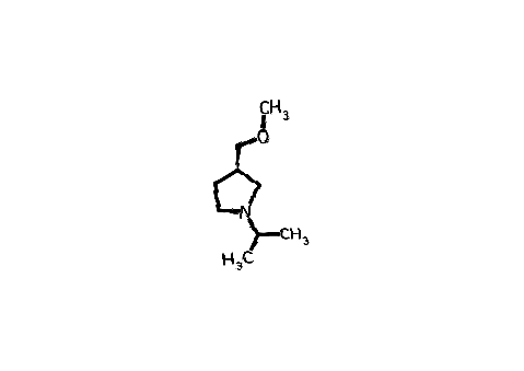 COC[C@@H]1CCN(C(C)C)C1